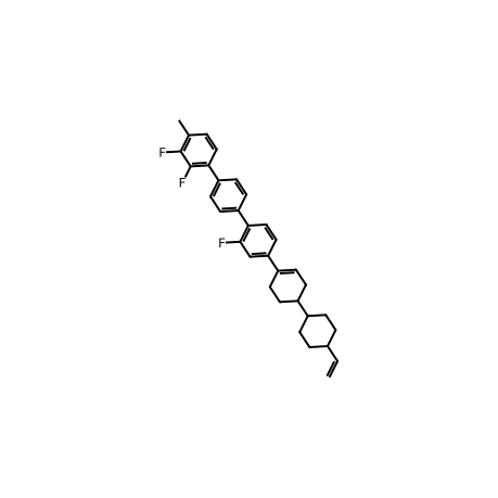 C=CC1CCC(C2CC=C(c3ccc(-c4ccc(-c5ccc(C)c(F)c5F)cc4)c(F)c3)CC2)CC1